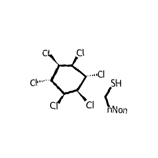 CCCCCCCCCCS.Cl[C@H]1[C@H](Cl)[C@@H](Cl)[C@@H](Cl)[C@H](Cl)[C@H]1Cl